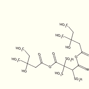 N=C(OC(=O)CC(O)(CC(=O)O)C(=O)O)C(C(C(=O)OC(=O)CC(O)(CC(=O)O)C(=O)O)(S(=O)(=O)O)S(=O)(=O)O)S(=O)(=O)O